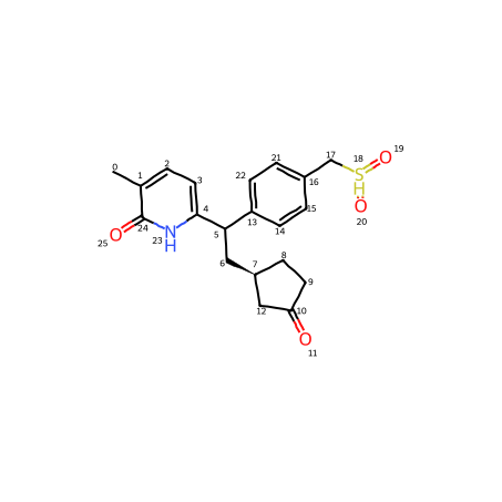 Cc1ccc(C(C[C@H]2CCC(=O)C2)c2ccc(C[SH](=O)=O)cc2)[nH]c1=O